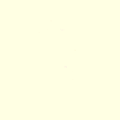 C#CCOC(=O)NCCCCC(N)C(=O)O.Cl